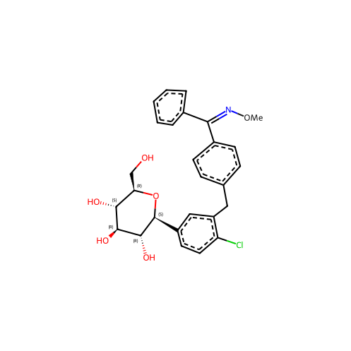 CON=C(c1ccccc1)c1ccc(Cc2cc([C@@H]3O[C@H](CO)[C@@H](O)[C@H](O)[C@H]3O)ccc2Cl)cc1